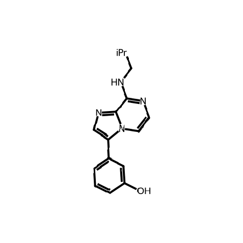 CC(C)CNc1nccn2c(-c3cccc(O)c3)cnc12